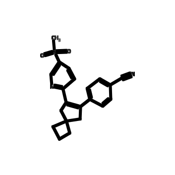 CS(=O)(=O)c1ccc(C2=C(c3ccc(C#N)cc3)CC3(CCC3)C2)nc1